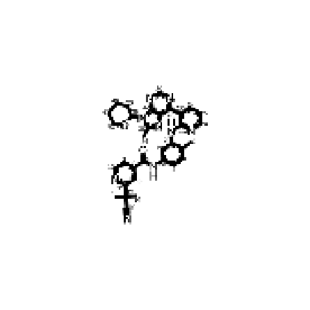 Cc1ccc(NC(=O)c2ccnc(C(C)(C)C#N)c2)cc1Nc1ncccc1-c1ncnc2c1nc(C)n2C1CCCCO1